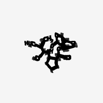 C=C(C)C(=O)NC1CCCC1C(=O)OC1C2CC3C(=O)OC1C3O2